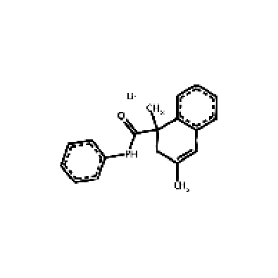 CC1=Cc2ccccc2C(C)(C(=O)Pc2ccccc2)C1.[Li]